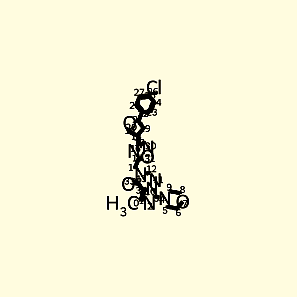 Cc1nc(N2CCOCC2)n2ncn(Cc3nc(C4COC(c5ccc(Cl)cc5)C4)no3)c(=O)c12